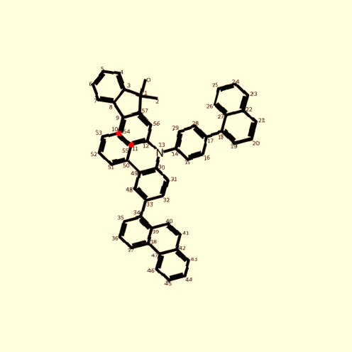 CC1(C)c2ccccc2-c2ccc(N(c3ccc(-c4cccc5ccccc45)cc3)c3ccc(-c4cccc5c4ccc4ccccc45)cc3-c3ccccc3)cc21